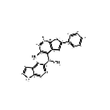 CN(c1ccc2[nH]ccc2c1)c1c(C#N)cnc2sc(-c3ccccc3)cc12